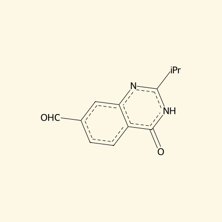 CC(C)c1nc2cc(C=O)ccc2c(=O)[nH]1